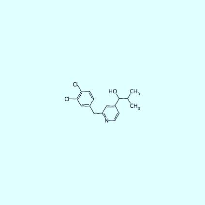 CC(C)C(O)c1ccnc(Cc2ccc(Cl)c(Cl)c2)c1